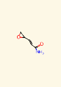 NC(=O)C=CC1CO1